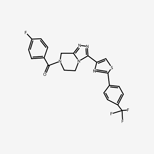 O=C(c1ccc(F)cc1)N1CCn2c(nnc2-c2csc(-c3ccc(C(F)(F)F)cc3)n2)C1